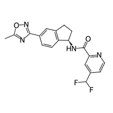 Cc1nc(-c2ccc3c(c2)CC[C@H]3NC(=O)c2cc(C(F)F)ccn2)no1